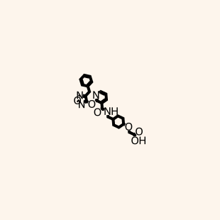 O=C(O)COC1CCC(CNC(=O)c2cccnc2Oc2nonc2Cc2ccccc2)CC1